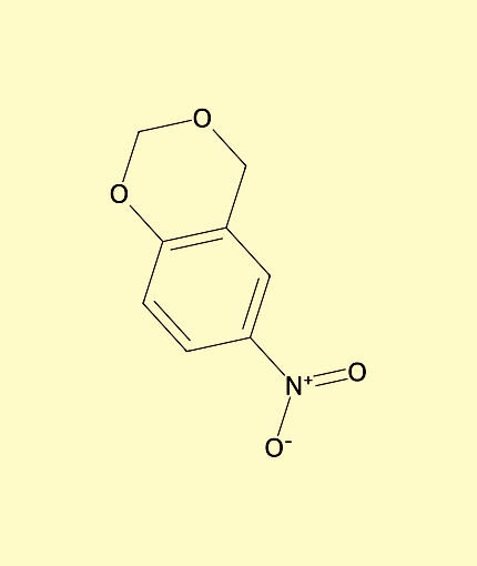 O=[N+]([O-])c1ccc2c(c1)COCO2